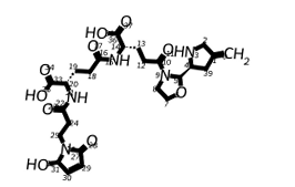 C=C1CN[C@H](C2OCCN2C(=O)CC[C@H](NC(=O)CC[C@H](NC(=O)CCN2C(=O)C=CC2O)C(=O)O)C(=O)O)C1